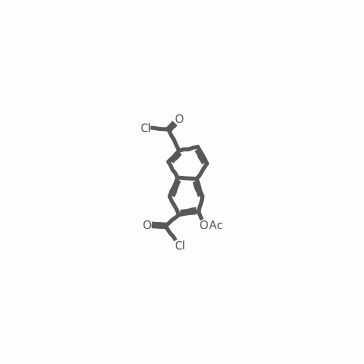 CC(=O)Oc1cc2ccc(C(=O)Cl)cc2cc1C(=O)Cl